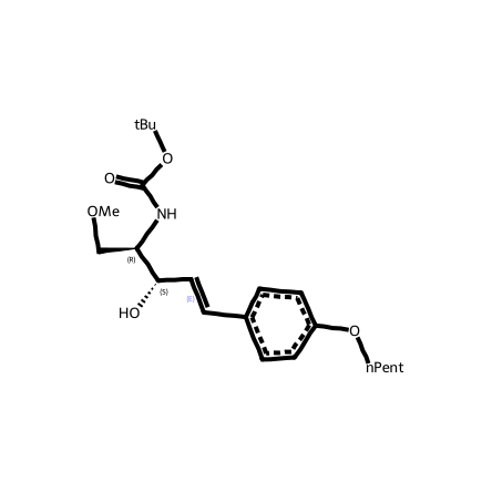 CCCCCOc1ccc(/C=C/[C@H](O)[C@@H](COC)NC(=O)OC(C)(C)C)cc1